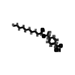 CCCCCCCCCC(=O)OC(C)c1ccc(C(=O)O)cc1